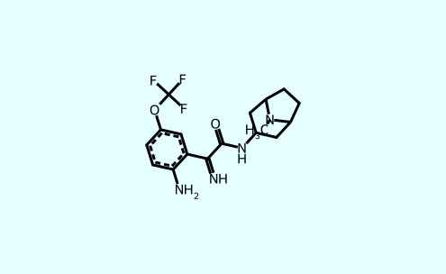 CN1C2CCC1CC(NC(=O)C(=N)c1cc(OC(F)(F)F)ccc1N)C2